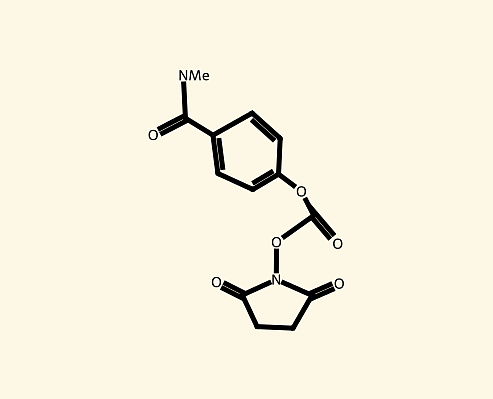 CNC(=O)c1ccc(OC(=O)ON2C(=O)CCC2=O)cc1